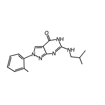 Cc1ccccc1-n1cc2c(=O)[nH]c(NCC(C)C)nc2n1